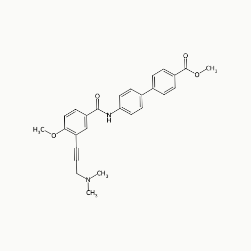 COC(=O)c1ccc(-c2ccc(NC(=O)c3ccc(OC)c(C#CCN(C)C)c3)cc2)cc1